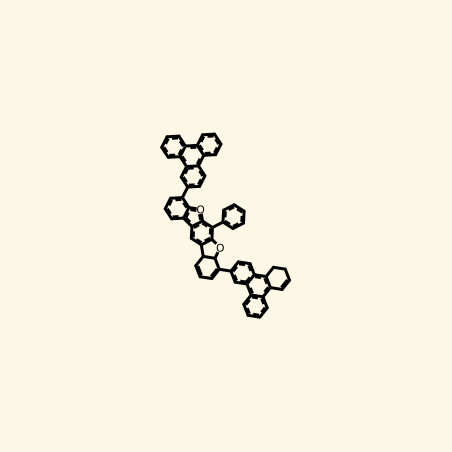 C1=CC2c3cc4c(oc5c(-c6ccc7c8ccccc8c8ccccc8c7c6)cccc54)c(-c4ccccc4)c3OC2C(c2ccc3c4c(c5ccccc5c3c2)C=CCC4)=C1